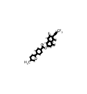 CC1CCC(C2CCC(C(=O)Oc3cc(F)c4c(F)c(C#CC(F)(F)F)c(F)cc4c3)CC2)OC1